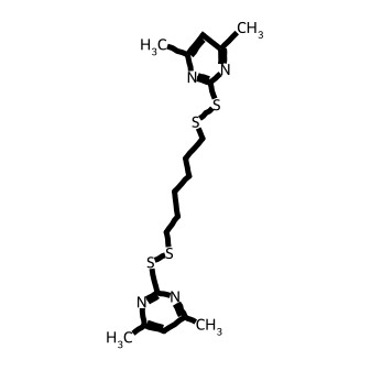 Cc1cc(C)nc(SSCCCCCCSSc2nc(C)cc(C)n2)n1